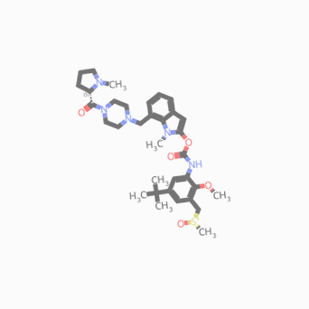 COc1c(C[S+](C)[O-])cc(C(C)(C)C)cc1NC(=O)Oc1cc2cccc(CN3CCN(C(=O)[C@@H]4CCCN4C)CC3)c2n1C